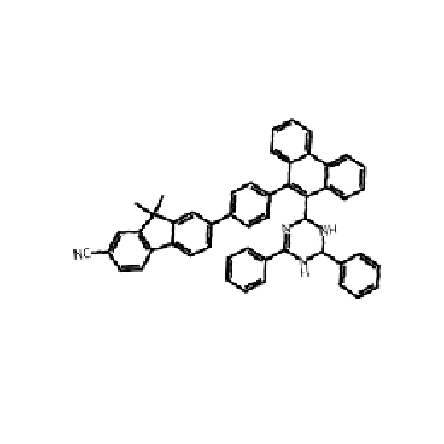 CC1(C)c2cc(C#N)ccc2-c2ccc(-c3ccc(-c4c(C5N=C(c6ccccc6)NC(c6ccccc6)N5)c5ccccc5c5ccccc45)cc3)cc21